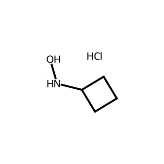 Cl.ONC1CCC1